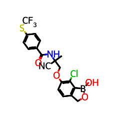 CC(C#N)(COc1ccc2c(c1Cl)B(O)OC2)NC(=O)c1ccc(SC(F)(F)F)cc1